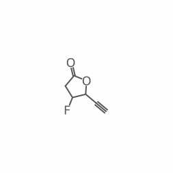 C#CC1OC(=O)CC1F